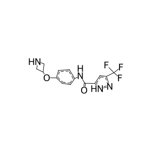 O=C(Nc1ccc(OC2CNC2)cc1)c1cc(C(F)(F)F)n[nH]1